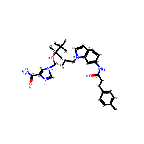 Cc1ccc(CCC(=O)Nc2ccc3ccn(CCC[C@@H](O[Si](C)(C)C(C)(C)C)n4cnc(C(N)=O)c4)c3c2)cc1